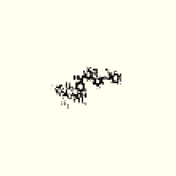 C[C@H](COC(C)(C)c1nn[nH]n1)N[C@H]1CC[C@H](Nc2cc(-c3cccc(NCC4(C#N)CCOCC4)n3)c(Cl)cn2)CC1